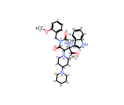 COc1ccccc1CN(C(C)=O)C(=O)C(N1CCC(N2CCCCC2)CC1)C(N)(C(C)=O)c1c[nH]c2ccccc12